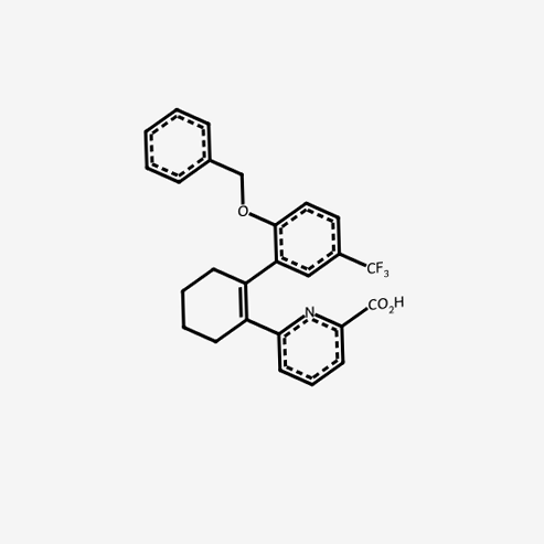 O=C(O)c1cccc(C2=C(c3cc(C(F)(F)F)ccc3OCc3ccccc3)CCCC2)n1